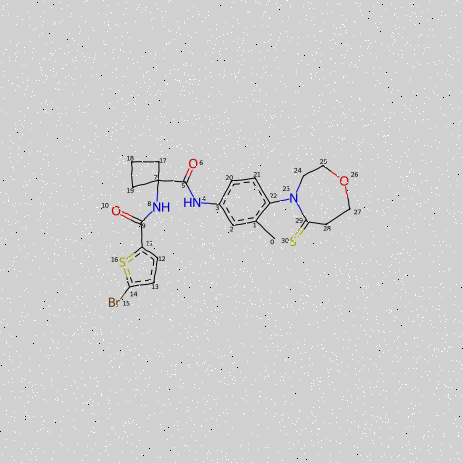 Cc1cc(NC(=O)C2(NC(=O)c3ccc(Br)s3)CCC2)ccc1N1CCOCCC1=S